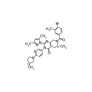 Cc1cc(C)n(-c2nc3c(c(=O)n2-c2ccc(N4CC[C@H](C)C4)nc2)C[C@@H](C)N(C(=O)c2ccc(Br)c(C)c2)C3)n1